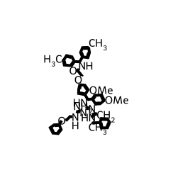 C=C(/N=C(\N=C(/N)NCCOc1ccccc1)NC(c1ccc(OCC(=O)NC(c2ccc(C)cc2)c2ccc(C)cc2)cc1)c1ccc(OC)cc1OC)N[C@@H](C)c1ccccc1